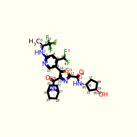 C[C@H](Nc1cc(C(F)F)c(-c2sc(C(=O)N[C@@H]3CC[C@@H](O)C3)nc2C(=O)N2C3CCC2CC3)cn1)C(F)(F)F